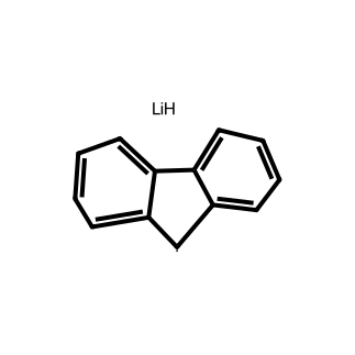 [CH]1c2ccccc2-c2ccccc21.[LiH]